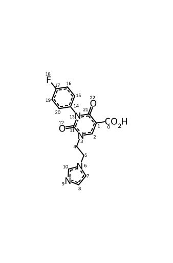 O=C(O)c1cn(CCn2ccnc2)c(=O)n(-c2ccc(F)cc2)c1=O